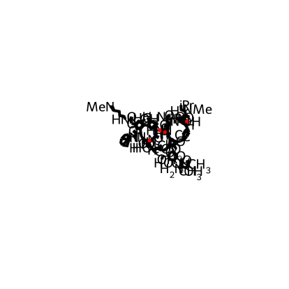 CNCCCCCNC(=O)Oc1cc(O)c2c(c1)[C@@H](C(=O)NC1C3CC4CC(C3)CC1C4)NC(=O)[C@H]1NC(=O)[C@H](NC(=O)[C@@H]3NC(=O)[C@H](CC(N)=O)NC(=O)[C@H](NC(=O)[C@@H](CC(C)C)NC)[C@H](O)c4ccc(c(C)c4)Oc4cc3cc(c4O[C@@H]3O[C@H](CO)[C@@H](O)[C@H](O)[C@H]3O[C@H]3C[C@](C)(N)[C@H](O)[C@H](C)O3)Oc3ccc(cc3Cl)[C@H]1O)c1ccc(O)c-2c1